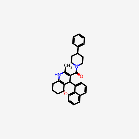 CC1=C(C(=O)N2CCC(c3ccccc3)CC2)C(c2cccc3ccccc23)C2=C(CCCC2=O)N1